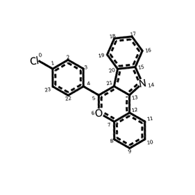 Clc1ccc(-c2oc3ccccc3c3nc4ccccc4c2-3)cc1